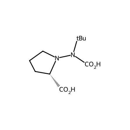 CC(C)(C)N(C(=O)O)N1CCC[C@H]1C(=O)O